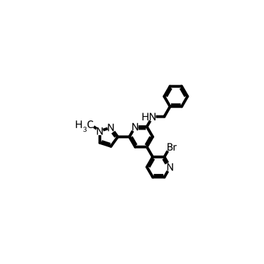 Cn1ccc(-c2cc(-c3cccnc3Br)cc(NCc3ccccc3)n2)n1